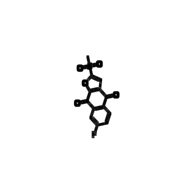 CS(=O)(=O)c1cc2c(o1)C(=O)c1cc(F)ccc1C2=O